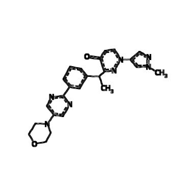 CC(c1cccc(-c2ncc(N3CCOCC3)cn2)c1)c1nn(-c2cnn(C)c2)ccc1=O